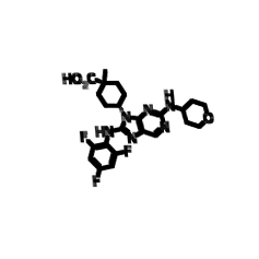 C[C@]1(C(=O)O)CC[C@H](n2c(Nc3c(F)cc(F)cc3F)nc3cnc(NC4CCOCC4)nc32)CC1